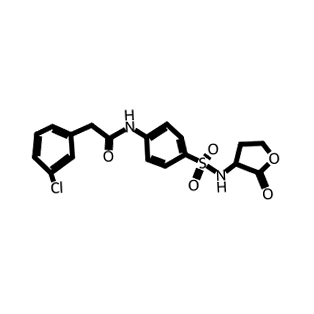 O=C(Cc1cccc(Cl)c1)Nc1ccc(S(=O)(=O)NC2CCOC2=O)cc1